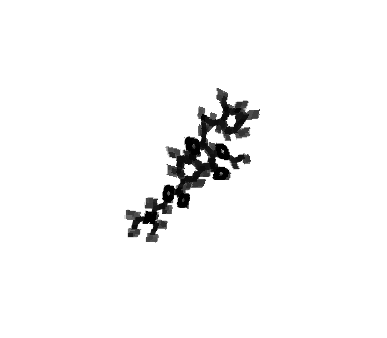 CCOc1c(C2CC2c2ccccc2C)oc2ccc(C(=O)OCCN(CC)CC)cc2c1=O